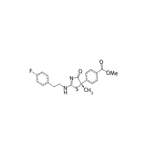 COC(=O)c1ccc([C@]2(C)SC(NCCc3ccc(F)cc3)=NC2=O)cc1